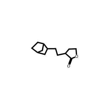 O=C1OCCC1CCC1CC2CCC1C2